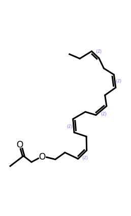 CC/C=C\C/C=C\C/C=C\C/C=C\C/C=C\CCOCC(C)=O